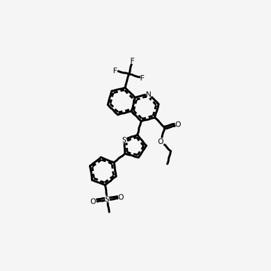 CCOC(=O)c1cnc2c(C(F)(F)F)cccc2c1-c1ccc(-c2cccc(S(C)(=O)=O)c2)s1